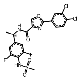 C[C@@H](NC(=O)c1coc(-c2ccc(Cl)c(Cl)c2)n1)c1cc(F)c(NS(C)(=O)=O)c(F)c1